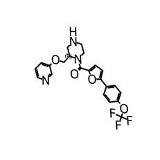 O=C(c1ccc(-c2ccc(OC(F)(F)F)cc2)o1)N1CCNC[C@@H]1COc1cccnc1